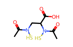 CC(=O)N(S)CC(C(=O)O)N(S)C(C)=O